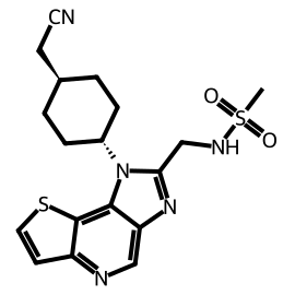 CS(=O)(=O)NCc1nc2cnc3ccsc3c2n1[C@H]1CC[C@H](CC#N)CC1